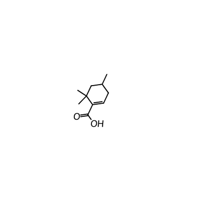 CC1CC=C(C(=O)O)C(C)(C)C1